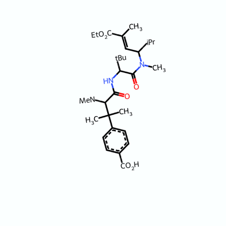 CCOC(=O)C(C)=CC(C(C)C)N(C)C(=O)C(NC(=O)C(NC)C(C)(C)c1ccc(C(=O)O)cc1)C(C)(C)C